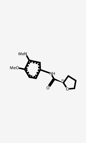 CNc1cc(NC(=O)[C@H]2CCCO2)ccc1OC